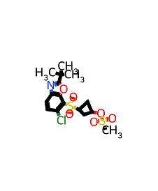 CC(C)(C)c1nc2ccc(Cl)c(S(=O)(=O)C3CC(OS(C)(=O)=O)C3)c2o1